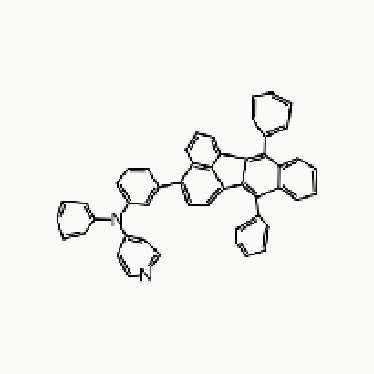 c1ccc(-c2c3c(c(-c4ccccc4)c4ccccc24)-c2ccc(-c4cccc(N(c5ccccc5)c5ccncc5)c4)c4cccc-3c24)cc1